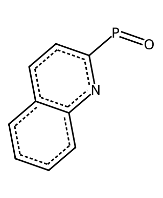 O=Pc1ccc2ccccc2n1